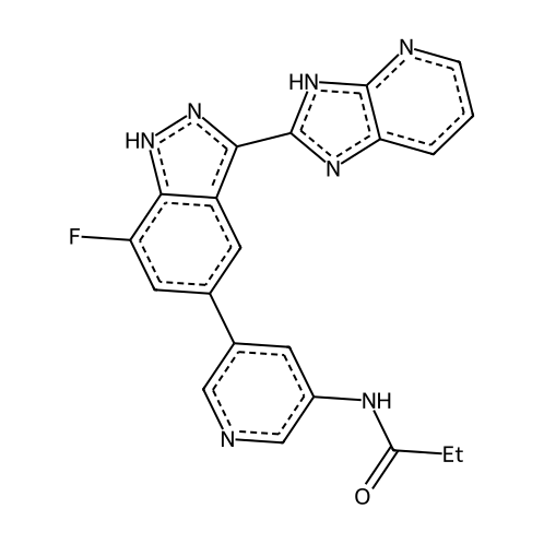 CCC(=O)Nc1cncc(-c2cc(F)c3[nH]nc(-c4nc5cccnc5[nH]4)c3c2)c1